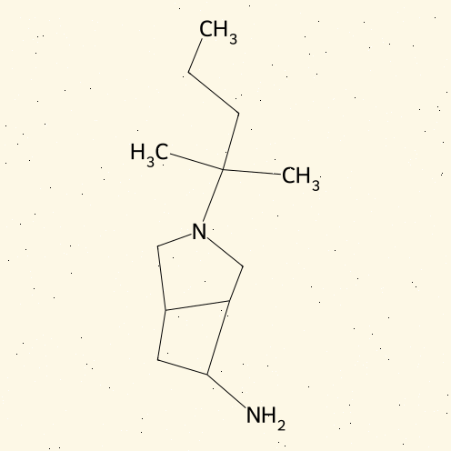 CCCC(C)(C)N1CC2CC(N)C2C1